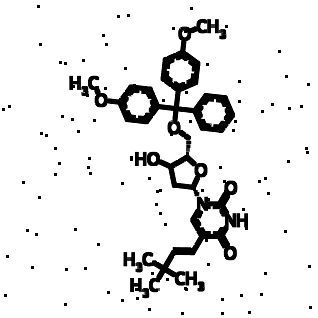 COc1ccc(C(OC[C@@H]2O[C@H](n3cc(C=CC(C)(C)C)c(=O)[nH]c3=O)CC2O)(c2ccccc2)c2ccc(OC)cc2)cc1